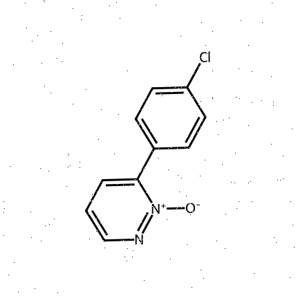 [O-][n+]1ncccc1-c1ccc(Cl)cc1